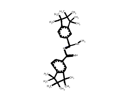 CN/C(=N\C(=N)c1ccc2c(c1)C(C)(C)C(C)(C)C2(C)C)c1ccc2c(c1)C(C)(C)C(C)(C)C2(C)C